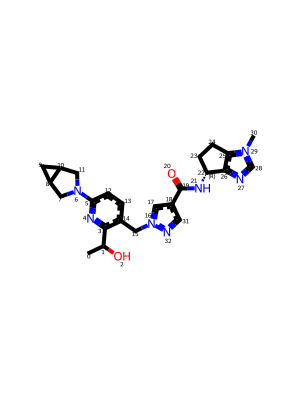 CC(O)c1nc(N2CC3CC3C2)ccc1Cn1cc(C(=O)N[C@@H]2CCc3c2ncn3C)cn1